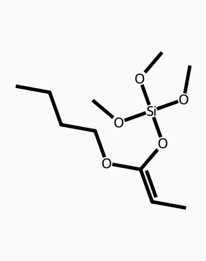 C/C=C(/OCCCC)O[Si](OC)(OC)OC